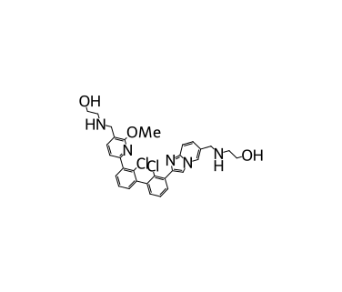 COc1nc(-c2cccc(-c3cccc(-c4cn5cc(CNCCO)ccc5n4)c3Cl)c2Cl)ccc1CNCCO